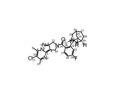 Cc1nc2c3c(nn2c(C)c1Cl)CN(C(=O)c1ccc(F)cc1O[C@@H]1CC2CC[C@H]1CN(C)C2)C3